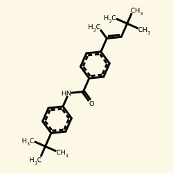 C/C(=C\C(C)(C)C)c1ccc(C(=O)Nc2ccc(C(C)(C)C)cc2)cc1